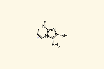 Bc1c(S)nc(N=C)n1/C=C\C